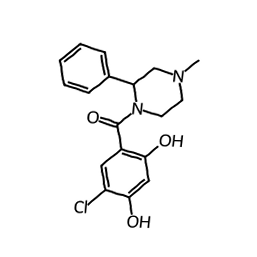 CN1CCN(C(=O)c2cc(Cl)c(O)cc2O)C(c2ccccc2)C1